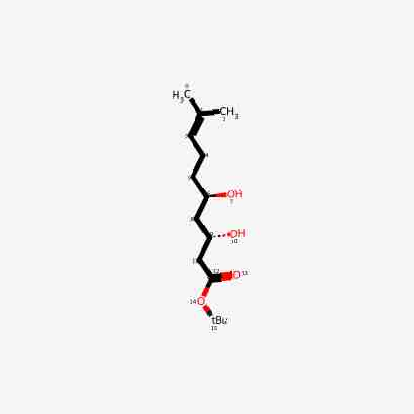 CC(C)=CCC[C@@H](O)C[C@H](O)CC(=O)OC(C)(C)C